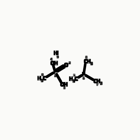 CP(=O)(O)O.CP(C)C.I